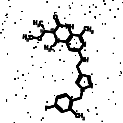 CO[C@H](C)[C@H]1C(=O)Nc2c(cc(NCc3cnn(Cc4ccc(F)cc4C)c3)nc2C)N1C